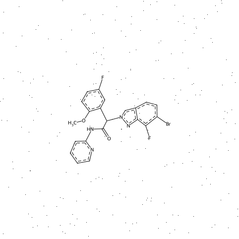 COc1ccc(F)cc1C(C(=O)Nc1ccccn1)n1cc2ccc(Br)c(F)c2n1